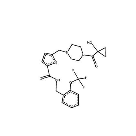 O=C(NCc1ccccc1OC(F)(F)F)c1ccc(CN2CCN(C(=O)C3(O)CC3)CC2)s1